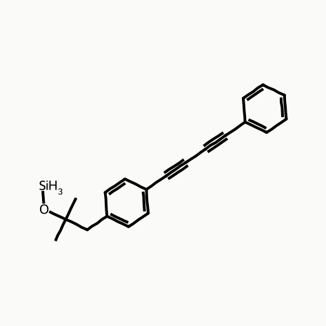 CC(C)(Cc1ccc(C#CC#Cc2ccccc2)cc1)O[SiH3]